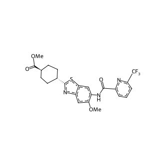 COc1cc2nc([C@H]3CC[C@H](C(=O)OC)CC3)sc2cc1NC(=O)c1cccc(C(F)(F)F)n1